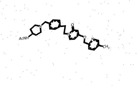 CC(=O)NC1CCN(Cc2ccc(CCn3ccc(OCc4ccc(C)cn4)cc3=O)cc2)CC1